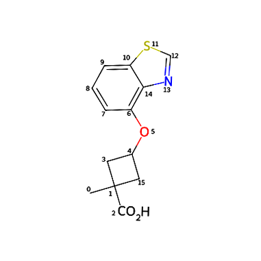 CC1(C(=O)O)CC(Oc2cccc3scnc23)C1